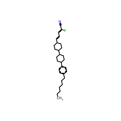 CCCCCCCc1ccc(C2CCC(C3CCC(C=CC=C(F)C#N)CC3)CC2)cc1